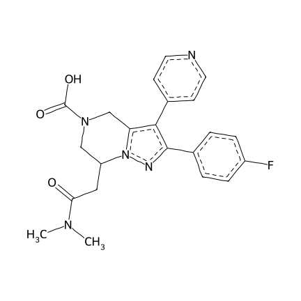 CN(C)C(=O)CC1CN(C(=O)O)Cc2c(-c3ccncc3)c(-c3ccc(F)cc3)nn21